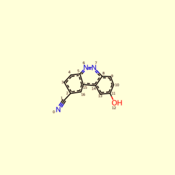 N#Cc1ccc2nnc3ccc(O)cc3c2c1